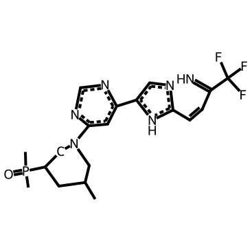 CC1CC(P(C)(C)=O)CN(c2cc(-c3cnc(/C=C\C(=N)C(F)(F)F)[nH]3)ncn2)C1